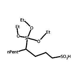 CCCCCC(CCCS(=O)(=O)O)[Si](OCC)(OCC)OCC